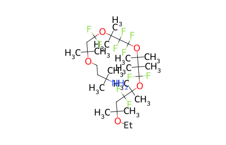 CCOC(C)(C)CC(F)(F)C(C)(C)OC(F)(F)C(C)(C)C(C)(C)OC(F)(F)C(F)(F)C(C)(C)OC(F)(F)CC(C)(C)OCCC(C)(C)N